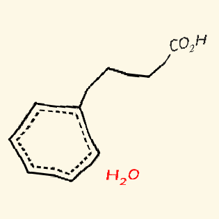 O.O=C(O)CCc1ccccc1